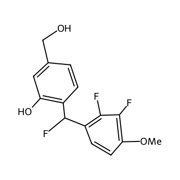 COc1ccc(C(F)c2ccc(CO)cc2O)c(F)c1F